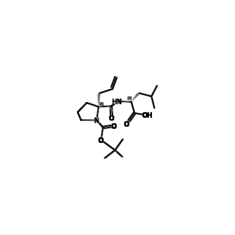 C=CC[C@@]1(C(=O)N[C@H](CC(C)C)C(=O)O)CCCN1C(=O)OC(C)(C)C